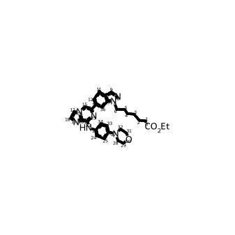 CCOC(=O)CCCCCCn1ncc2ccc(-c3cn4ccnc4c(Nc4ccc(N5CCOCC5)cc4)n3)cc21